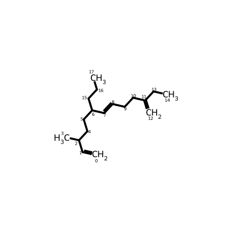 C=CC(C)CCC(C=CCCC(=C)CC)CCC